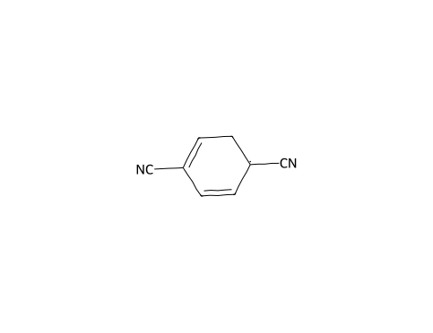 N#C[C]1C=CC(C#N)=CC1